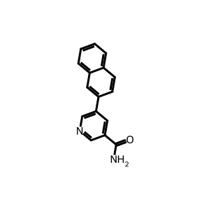 NC(=O)c1cncc(-c2ccc3ccccc3c2)c1